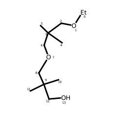 CCOCC(C)(C)COCC(C)(C)CO